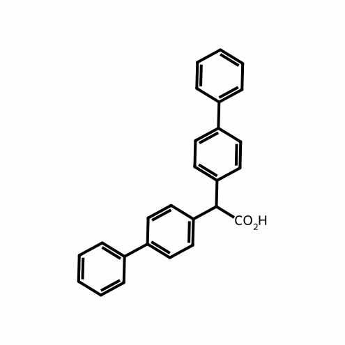 O=C(O)C(c1ccc(-c2ccccc2)cc1)c1ccc(-c2ccccc2)cc1